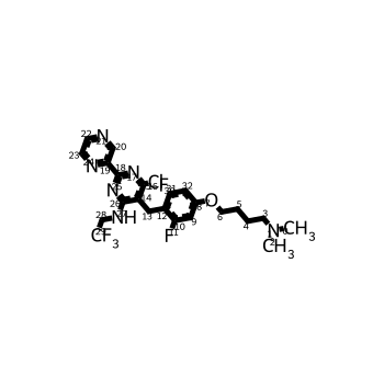 CN(C)CCCCOc1cc(F)c(Cc2c(Cl)nc(-c3cnccn3)nc2NCC(F)(F)F)c(F)c1